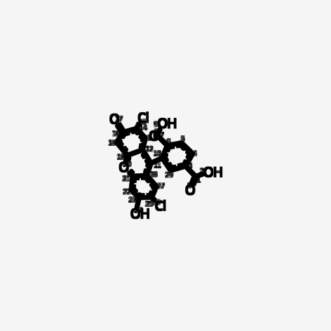 O=C(O)c1ccc(C(=O)O)c(-c2c3cc(Cl)c(=O)cc-3oc3cc(O)c(Cl)cc23)c1